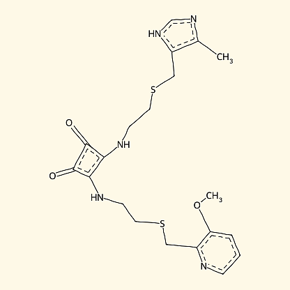 COc1cccnc1CSCCNc1c(NCCSCc2[nH]cnc2C)c(=O)c1=O